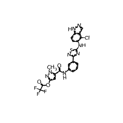 Cn1nc(OC(=O)C(F)(F)F)cc1C(=O)Nc1cccc(-c2nsc(Nc3ccc4[nH]ncc4c3Cl)n2)c1